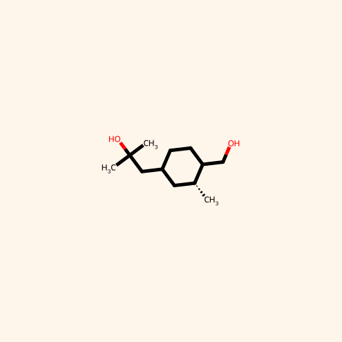 C[C@@H]1CC(CC(C)(C)O)CCC1CO